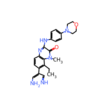 CCc1c(/C(C=N)=C/N)ccc2nc(Nc3ccc(N4CCOCC4)cc3)c(=O)n(C)c12